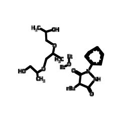 CC(O)COC(C)COC(C)CO.CCCCC1C(=O)NN(c2ccccc2)C1=O.CCOCC